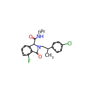 CCCNC(=O)C1c2cccc(F)c2C(=O)N1CC(C)c1ccc(Cl)cc1